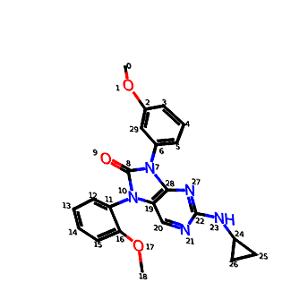 COc1cccc(-n2c(=O)n(-c3ccccc3OC)c3cnc(NC4CC4)nc32)c1